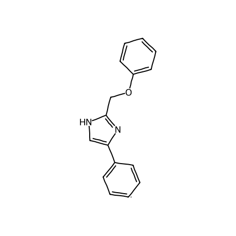 [c]1ccc(-c2c[nH]c(COc3ccccc3)n2)cc1